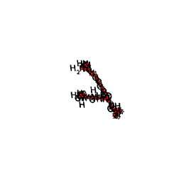 Nc1nc(OCc2ccc(COCCOCCOCCOCCNC(=O)C(CCCCNC(=O)OCC3c4ccccc4-c4ccccc43)NC(=O)CCCCCNC(=O)CCCC[C@H]3SC[C@H]4NC(=O)N[C@H]43)cc2)c2nc[nH]c2n1